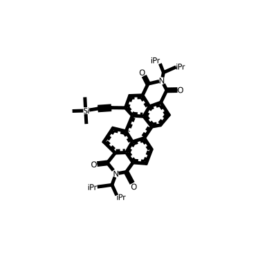 CC(C)C(C(C)C)N1C(=O)c2ccc3c4ccc5c6c(cc(C#C[Si](C)(C)C)c(c7ccc(c2c37)C1=O)c64)C(=O)N(C(C(C)C)C(C)C)C5=O